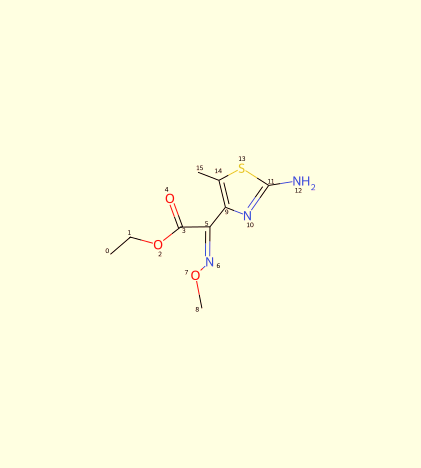 CCOC(=O)C(=NOC)c1nc(N)sc1C